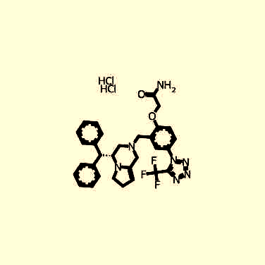 Cl.Cl.NC(=O)COc1ccc(-n2nnnc2C(F)(F)F)cc1CN1CC2=CCCN2[C@H](C(c2ccccc2)c2ccccc2)C1